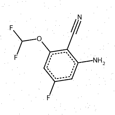 N#Cc1c(N)cc(F)cc1OC(F)F